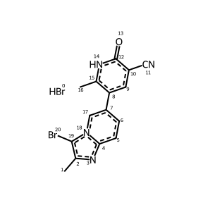 Br.Cc1nc2ccc(-c3cc(C#N)c(=O)[nH]c3C)cn2c1Br